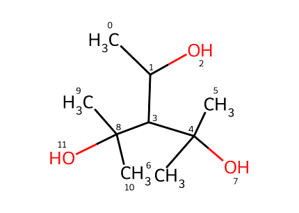 CC(O)C(C(C)(C)O)C(C)(C)O